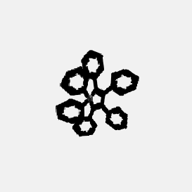 c1ccc(C2=C(c3ccccc3)[Si](c3ccccc3)(c3ccccc3)C(c3ccccc3)=C2c2ccccc2)cc1